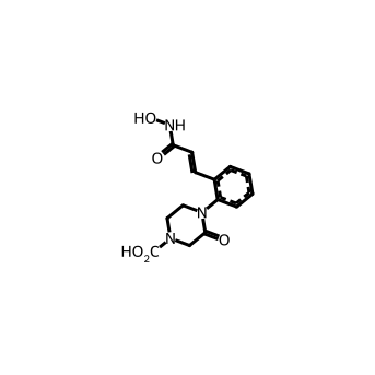 O=C(/C=C/c1ccccc1N1CCN(C(=O)O)CC1=O)NO